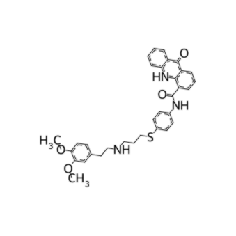 COc1ccc(CCNCCCSc2ccc(NC(=O)c3cccc4c(=O)c5ccccc5[nH]c34)cc2)cc1OC